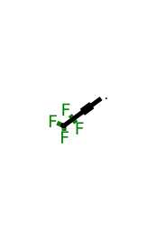 [CH2]C#CC(F)(F)C(F)F